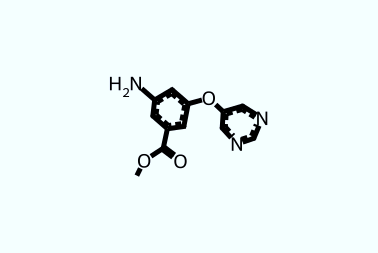 COC(=O)c1cc(N)cc(Oc2cncnc2)c1